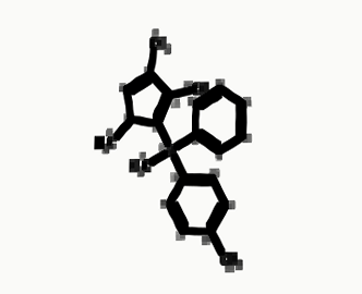 CC1=CC(C)C([Si](C)(c2ccccc2)c2ccc(C)cc2)=C1C